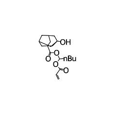 C=CC(=O)OC(CCCC)OC(=O)C12CC3CC(CC(O)(C3)C1)C2